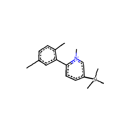 Cc1ccc(C)c(-c2ccc([Si](C)(C)C)c[n+]2C)c1